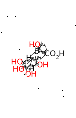 C[C@@H]1CC[C@]2(C(=O)O)CC[C@]3(C)C(=CC[C@@H]4[C@@]5(C)C[C@@H](O)[C@H](O)[C@@](C)(CO)[C@@H]5C[C@@H](O)[C@]43C)[C@@H]2[C@]1(C)O